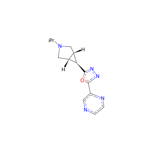 CC(C)N1C[C@@H]2[C@H](C1)[C@H]2c1nnc(-c2cnccn2)o1